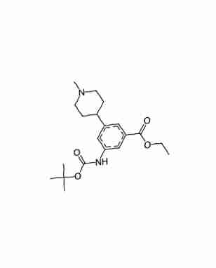 CCOC(=O)c1cc(NC(=O)OC(C)(C)C)cc(C2CCN(C)CC2)c1